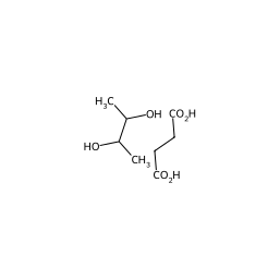 CC(O)C(C)O.O=C(O)CCC(=O)O